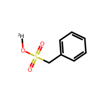 [2H]OS(=O)(=O)Cc1ccccc1